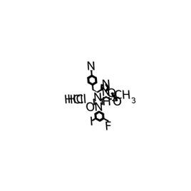 CS(=O)(=O)CCC1CN(c2cc(I)cc(CF)c2)C(=O)CN1[C@@H](Cc1ccc(C#N)cc1)c1cnc[nH]1.Cl.Cl